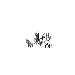 CCc1cccc2cc(O)cc(-c3c(F)cc4c(N5CC6CCC(C5)N6)nc(CC[C@@]56CCCN5C[C@H](F)C6)nc4c3F)c12